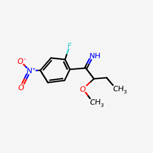 CCC(OC)C(=N)c1ccc([N+](=O)[O-])cc1F